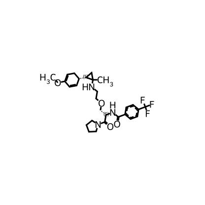 COC1=CCC([C@@H]2CC2(C)NCCOC[C@H](NC(=O)c2ccc(C(F)(F)F)cc2)C(=O)N2CCCC2)C=C1